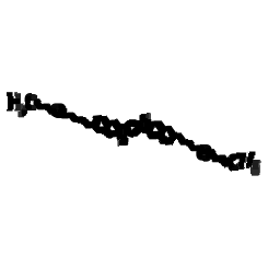 CCCCCOCCCCCc1ccc2cc3c(cc2c1)sc1cc2c(cc13)sc1cc3cc(CCCCCOCCCCC)ccc3cc12